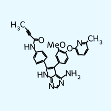 CC#CC(=O)Nc1ccc(-c2[nH]c3ncnc(N)c3c2-c2ccc(Oc3cccc(C)n3)c(OC)c2)cc1